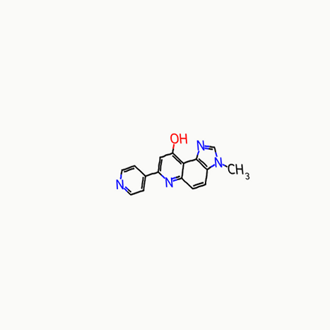 Cn1cnc2c3c(O)cc(-c4ccncc4)nc3ccc21